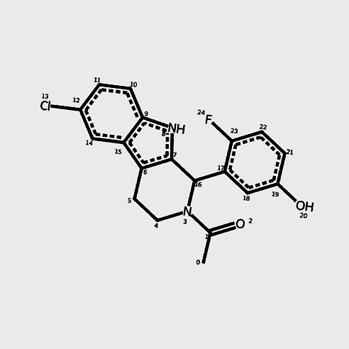 CC(=O)N1CCc2c([nH]c3ccc(Cl)cc23)C1c1cc(O)ccc1F